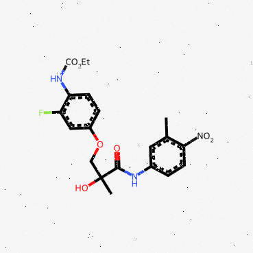 CCOC(=O)Nc1ccc(OCC(C)(O)C(=O)Nc2ccc([N+](=O)[O-])c(C)c2)cc1F